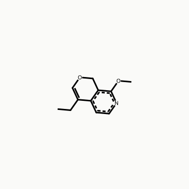 CCC1=COCc2c1ccnc2OC